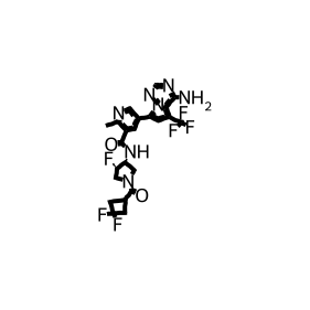 Cc1ncc(-c2cc(C(F)(F)F)c3c(N)ncnn23)cc1C(=O)N[C@@H]1CN(C(=O)C2CC(F)(F)C2)C[C@@H]1F